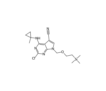 CC1(Nc2nc(Cl)nc3c2c(C#N)cn3COCC[Si](C)(C)C)CC1